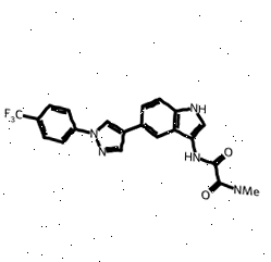 CNC(=O)C(=O)Nc1c[nH]c2ccc(-c3cnn(-c4ccc(C(F)(F)F)cc4)c3)cc12